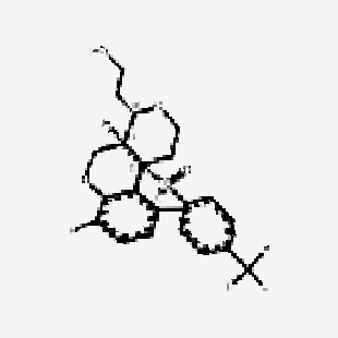 O=S(=O)(c1ccc(C(F)(F)F)cc1)[C@]12CCO[C@H](CCO)[C@H]1COc1c(F)ccc(F)c12